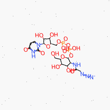 [N-]=[N+]=NCC(=O)N[C@H]1C(O)[C@@H](O)C(CO)O[C@@H]1OP(=O)(O)OP(=O)(O)OC[C@H]1O[C@@H](n2ccc(=O)[nH]c2=O)[C@@H](O)C1O